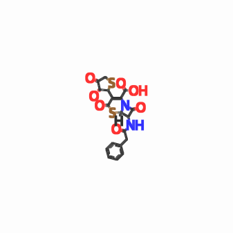 O=C(Cc1ccccc1)NC1C(=O)N2C(C(=O)O)=C(C3SCC(=O)C3=O)C(=O)S[C@@H]12